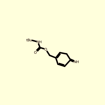 CC(C)(C)NC(=O)OCC1=CCC(=N)C=C1